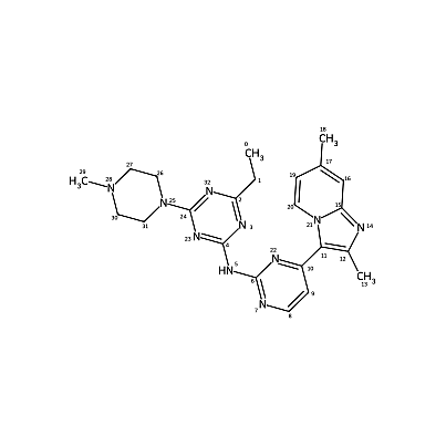 CCc1nc(Nc2nccc(-c3c(C)nc4cc(C)ccn34)n2)nc(N2CCN(C)CC2)n1